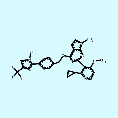 COc1ncnc(C2CC2)c1-c1nc(OCc2ccc(-c3nc(C(F)(F)F)cn3C)cc2)c2ccn(C)c2n1